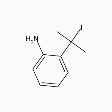 CC(C)(I)c1ccccc1N